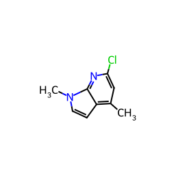 Cc1cc(Cl)nc2c1ccn2C